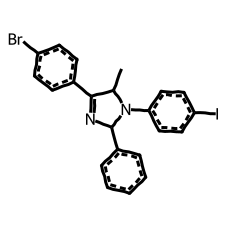 CC1C(c2ccc(Br)cc2)=NC(c2ccccc2)N1c1ccc(I)cc1